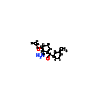 Cc1cccc(C(=O)c2cccc(OC3CC3)c2N)c1